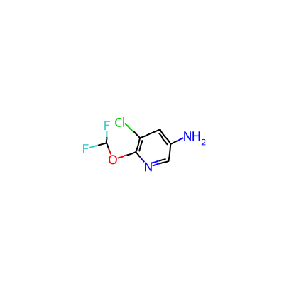 Nc1cnc(OC(F)F)c(Cl)c1